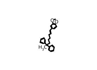 CC(CCCC/C=C/c1ccc2c(c1)OCO2)(c1ccccc1)c1ccccc1